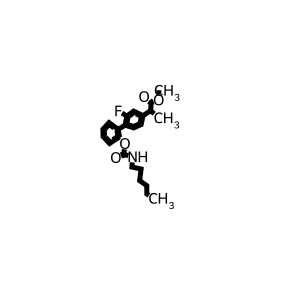 CCCCCCNC(=O)Oc1ccccc1-c1ccc(C(C)C(=O)OC)cc1F